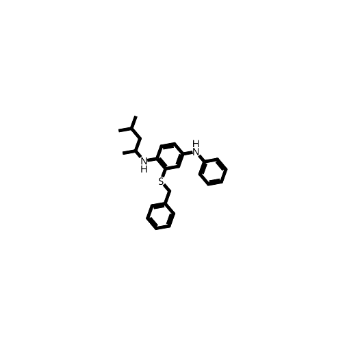 CC(C)CC(C)Nc1ccc(Nc2ccccc2)cc1SCc1ccccc1